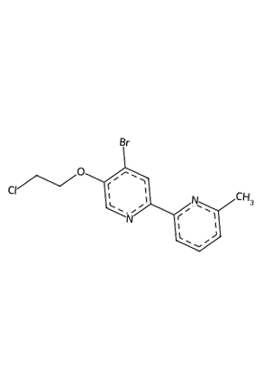 Cc1cccc(-c2cc(Br)c(OCCCl)cn2)n1